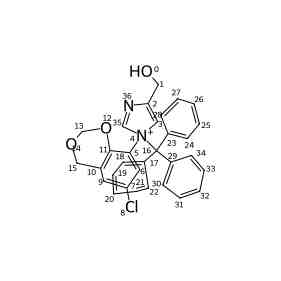 OCC1=C[N+](c2cc(Cl)cc3c2OCOC3)(C(c2ccccc2)(c2ccccc2)c2ccccc2)C=N1